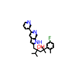 Cc1ccc(F)cc1C(C)(C)CC(O)(Cc1cc2cc(-c3cccnc3)ncc2[nH]1)C(C)C